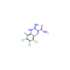 Cc1c(Cl)c(Cl)c(Cl)c(C)c1NC(=N)NC(N)=O